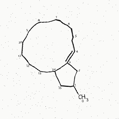 CC1CC2=CCCCCCCCCCC2C1